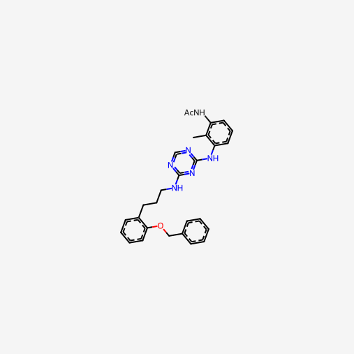 CC(=O)Nc1cccc(Nc2ncnc(NCCCc3ccccc3OCc3ccccc3)n2)c1C